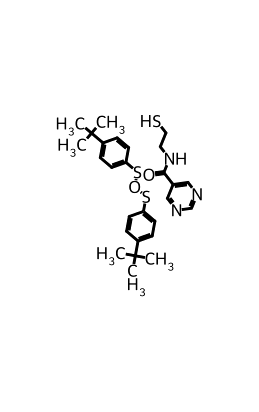 CC(C)(C)c1ccc(SOSc2ccc(C(C)(C)C)cc2)cc1.O=C(NCCS)c1cncnc1